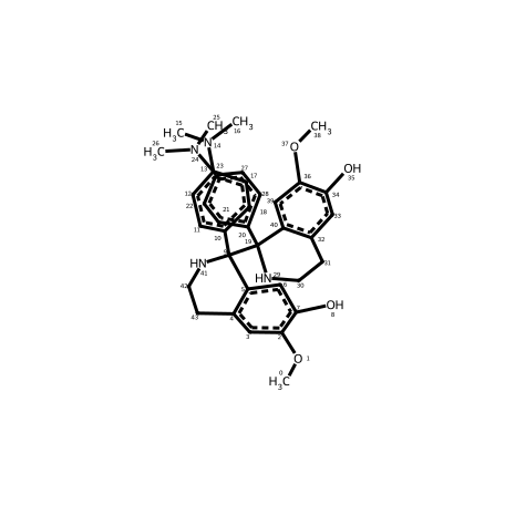 COc1cc2c(cc1O)C(c1ccc(N(C)C)cc1)(C1(c3ccc(N(C)C)cc3)NCCc3cc(O)c(OC)cc31)NCC2